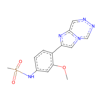 COc1cc(NS(C)(=O)=O)ccc1-c1cn2cnncc2n1